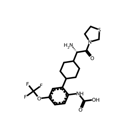 N[C@H](C(=O)N1CCSC1)C1CCC(c2cc(OC(F)(F)F)ccc2NC(=O)O)CC1